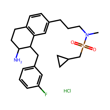 CN(CCCc1ccc2c(c1)C(Cc1cccc(F)c1)C(N)CC2)S(=O)(=O)CC1CC1.Cl